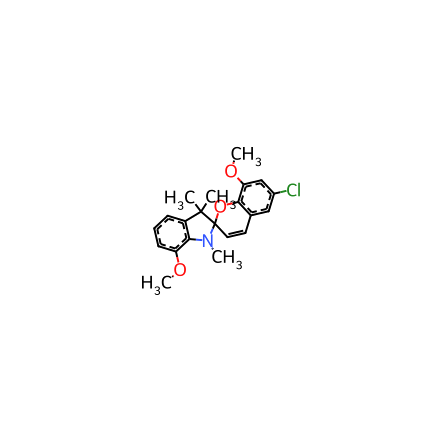 COc1cc(Cl)cc2c1OC1(C=C2)N(C)c2c(OC)cccc2C1(C)C